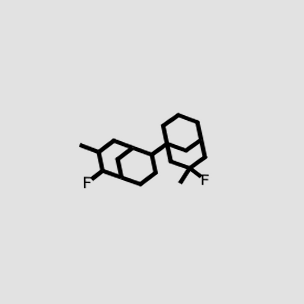 CC1CC2CC(CCC2C23CCCC(CC(C)(F)C2)C3)C1F